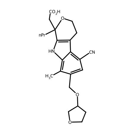 CCCC1(CC(=O)O)OCCc2c1[nH]c1c(C)c(COC3CCOC3)cc(C#N)c21